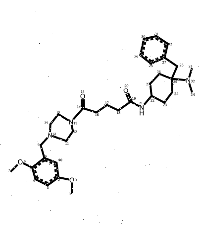 COc1ccc(OC)c(CN2CCN(C(=O)CCCC(=O)NC3CCC(Cc4ccccc4)(N(C)C)CC3)CC2)c1